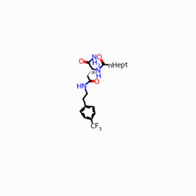 CCCCCCCC(=O)N[C@H](CC(=O)NCCc1ccc(C(F)(F)F)cc1)C(N)=O